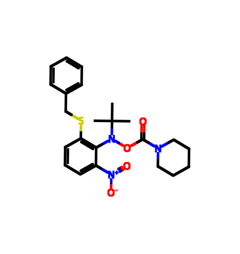 CC(C)(C)N(OC(=O)N1CCCCC1)c1c(SCc2ccccc2)cccc1[N+](=O)[O-]